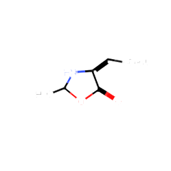 CCCCC/C=C1/NC(C)OC1=O